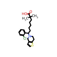 CC(C)(CCCCCC(c1ccccc1Cl)N1CCc2sccc2C1)C(=O)O